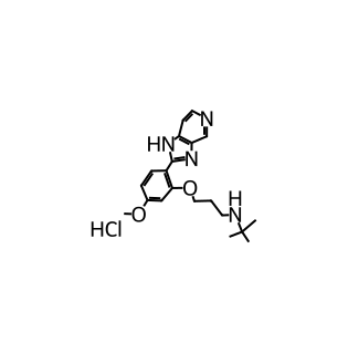 COc1ccc(-c2nc3cnccc3[nH]2)c(OCCCNC(C)(C)C)c1.Cl